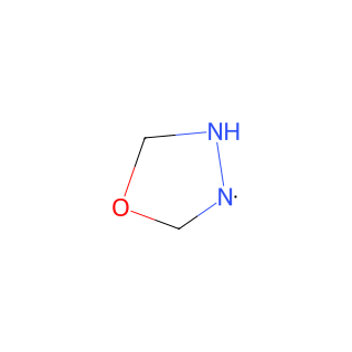 C1[N]NCO1